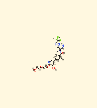 C/N=C\C(=C/NCC(F)(F)F)N1Cc2cc(-c3cnc(OCCOCCOC)c(OC)c3)cc(C)c2C1=O